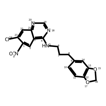 O=[N+]([O-])c1cc2c(NCCCc3ccc4c(c3)OCO4)ncnc2cc1Cl